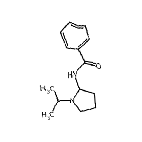 CC(C)N1CCCC1NC(=O)c1ccccc1